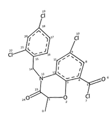 CC1Oc2c(C(=O)Cl)cc(Cl)cc2N(Cc2ccc(Cl)cc2Cl)C1=O